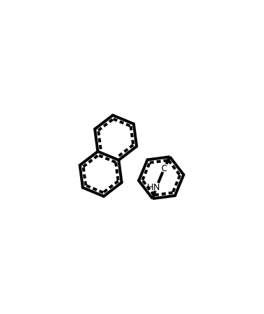 c1cc2ccc1CN2.c1ccc2ccccc2c1